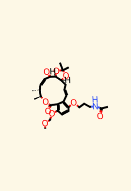 COCOc1ccc(OCCCNC(C)=O)c2c1C(=O)O[C@@H](C)[C@H](C)/C=C\C(=O)[C@H]1OC(C)(C)O[C@H]1C/C=C/2